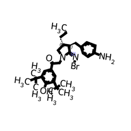 CCC[C@H]1CN(CC(=O)c2cc(C(C)(C)C)c(O)c(C(C)(C)C)c2)/C(=N\Br)[C@@H]1Cc1ccc(N)cc1